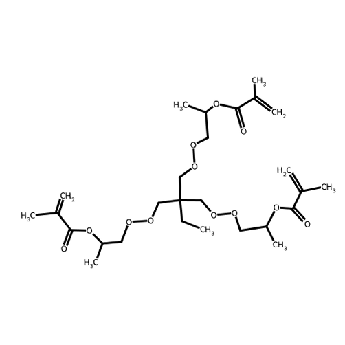 C=C(C)C(=O)OC(C)COOCC(CC)(COOCC(C)OC(=O)C(=C)C)COOCC(C)OC(=O)C(=C)C